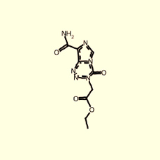 CCOC(=O)Cn1nnc2c(C(N)=O)ncn2c1=O